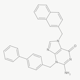 Nc1nc(=O)c2c(ncn2Cc2ccc3ccccc3c2)n1Cc1ccc(-c2ccccc2)cc1